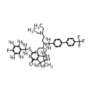 [2H]c1c([2H])c(C([2H])([2H])Sc2nc(=O)c3c(n2CC(=O)N(CCN(CC)CC)C([2H])([2H])c2ccc(-c4ccc(C(F)(F)F)cc4)cc2)C([2H])([2H])C([2H])(C)C3([2H])[2H])c([2H])c([2H])c1F